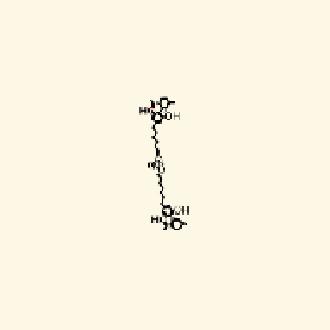 C=C(C)[C@@H]1CCC(C)=C[C@H]1c1c(O)cc(CCCCCCCO[N+](=O)OCCCCCCCc2cc(O)c([C@@H]3C=C(C)CC[C@H]3C(=C)C)c(O)c2)cc1O